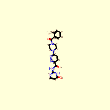 O=C(Nc1nccc(=O)[nH]1)c1ccc(N2CCN(C(=O)c3ccccc3C(F)(F)F)CC2)nn1